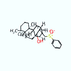 C[C@@]12CCC[C@@](C)(C(=O)O)[C@H]1CC[C@@]13CC[C@@H](C[C@@H]21)[C@H](C[S+]([O-])c1ccccc1)[C@H]3O